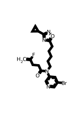 C=C(F)CCC(=O)N(CCCCCc1nc(C2CC2)no1)c1cncc(Br)c1